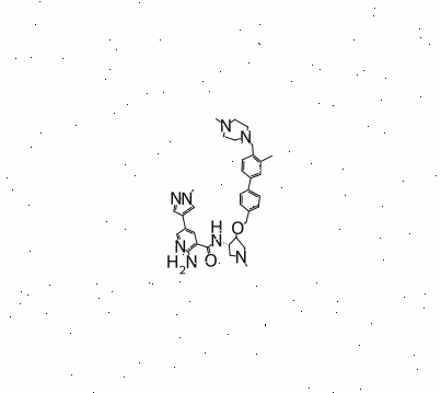 Cc1cc(-c2ccc(CO[C@H]3CN(C)C[C@@H]3NC(=O)c3cc(-c4cnn(C)c4)cnc3N)cc2)ccc1CN1CCN(C)CC1